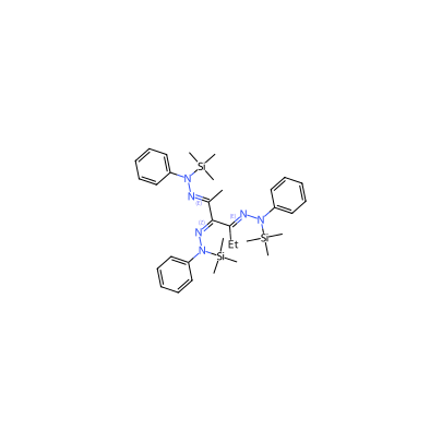 CCC(=N\N(c1ccccc1)[Si](C)(C)C)/C(=N\N(c1ccccc1)[Si](C)(C)C)C(/C)=N/N(c1ccccc1)[Si](C)(C)C